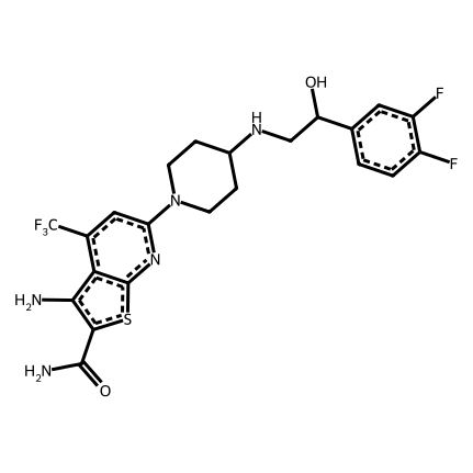 NC(=O)c1sc2nc(N3CCC(NCC(O)c4ccc(F)c(F)c4)CC3)cc(C(F)(F)F)c2c1N